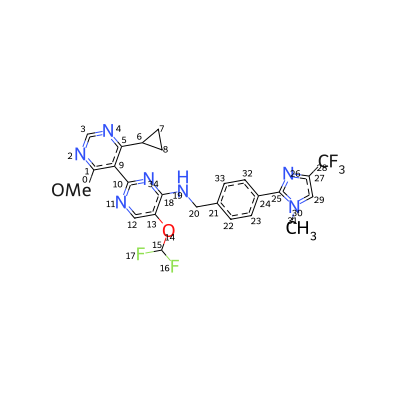 COc1ncnc(C2CC2)c1-c1ncc(OC(F)F)c(NCc2ccc(-c3nc(C(F)(F)F)cn3C)cc2)n1